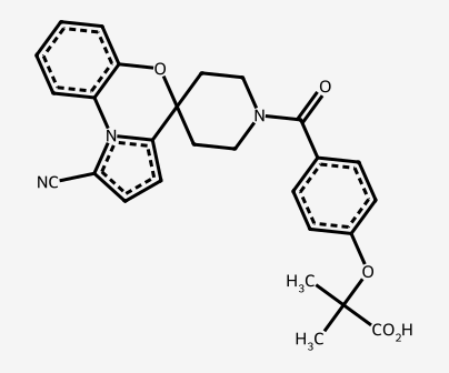 CC(C)(Oc1ccc(C(=O)N2CCC3(CC2)Oc2ccccc2-n2c(C#N)ccc23)cc1)C(=O)O